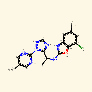 COc1cnc(-n2ncnc2[C@H](C)Nc2nc3cc(C(F)(F)F)cc(Cl)c3o2)nc1